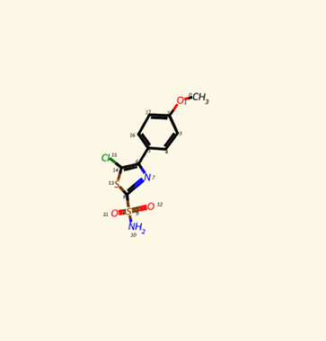 COc1ccc(-c2nc(S(N)(=O)=O)sc2Cl)cc1